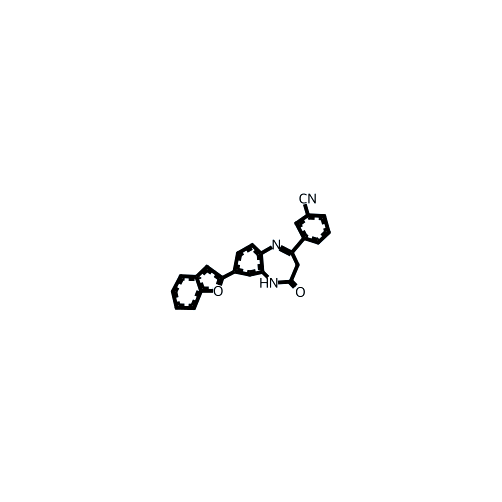 N#Cc1cccc(C2=Nc3ccc(-c4cc5ccccc5o4)cc3NC(=O)C2)c1